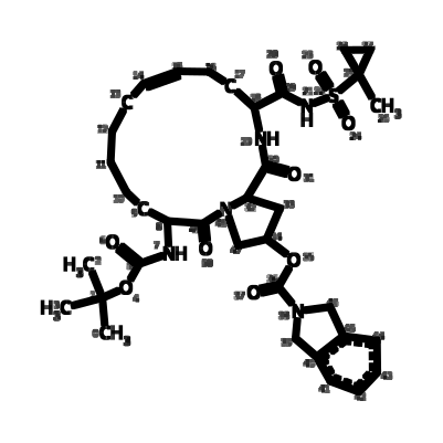 CC(C)(C)OC(=O)NC1CCCCCC=CCCC(C(=O)NS(=O)(=O)C2(C)CC2)NC(=O)C2CC(OC(=O)N3Cc4ccccc4C3)CN2C1=O